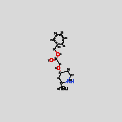 CCCCC1C[C@H](OCC(=O)OCc2ccccc2)CCN1